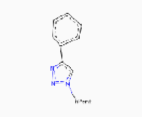 CCCCCn1cc(-c2ccccc2)nn1